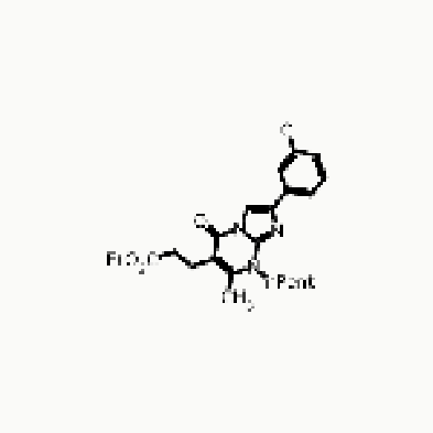 CCCCCn1c(C)c(CCC(=O)OCC)c(=O)n2cc(-c3cccc(Cl)c3)nc12